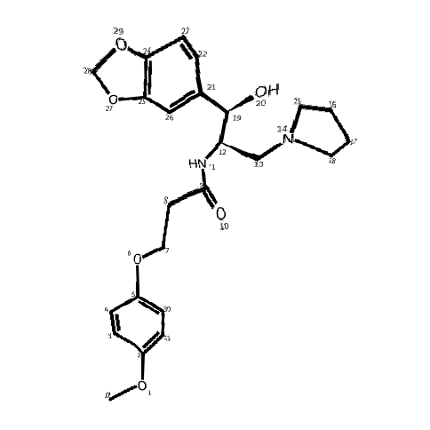 COc1ccc(OCCC(=O)N[C@H](CN2CCCC2)[C@H](O)c2ccc3c(c2)OCO3)cc1